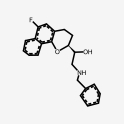 OC(CNCc1ccccc1)[C@@H]1CCc2cc(F)c3ccccc3c2O1